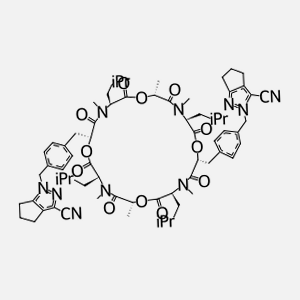 CC(C)C[C@H]1C(=O)O[C@H](Cc2ccc(Cn3nc(C#N)c4c3CCC4)cc2)C(=O)N(C)[C@@H](CC(C)C)C(=O)O[C@H](C)C(=O)N(C)[C@@H](CC(C)C)C(=O)O[C@H](Cc2ccc(Cn3nc4c(c3C#N)CCC4)cc2)C(=O)N(C)[C@@H](CC(C)C)C(=O)O[C@H](C)C(=O)N1C